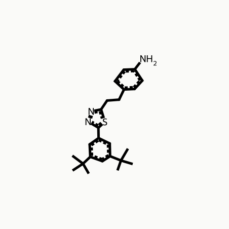 CC(C)(C)c1cc(-c2nnc(CCc3ccc(N)cc3)s2)cc(C(C)(C)C)c1